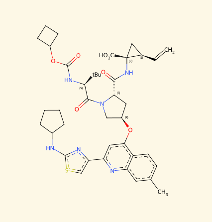 C=C[C@@H]1C[C@]1(NC(=O)[C@@H]1C[C@@H](Oc2cc(-c3csc(NC4CCCC4)n3)nc3cc(C)ccc23)CN1C(=O)[C@@H](NC(=O)OC1CCC1)C(C)(C)C)C(=O)O